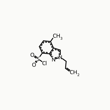 C=CCn1cc2c(C)ccc(S(=O)(=O)Cl)c2n1